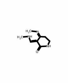 C/N=C1/CCNC(=O)/C1=C/NC